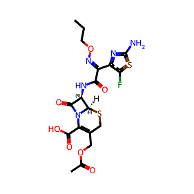 CCCON=C(C(=O)N[C@@H]1C(=O)N2C(C(=O)O)=C(COC(C)=O)CS[C@H]12)c1nc(N)sc1F